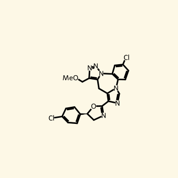 COCc1nnn2c1Cc1c(C3=NC[C@@H](c4ccc(Cl)cc4)O3)ncn1-c1ccc(Cl)cc1-2